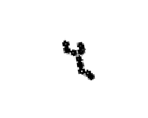 c1ccc(-c2cccc(-c3ccc(N(c4ccc(-c5ccc(-c6cccc(-c7ccc8ccccc8c7)c6)cc5)cc4)c4ccc5sc6ccccc6c5c4)cc3)c2)cc1